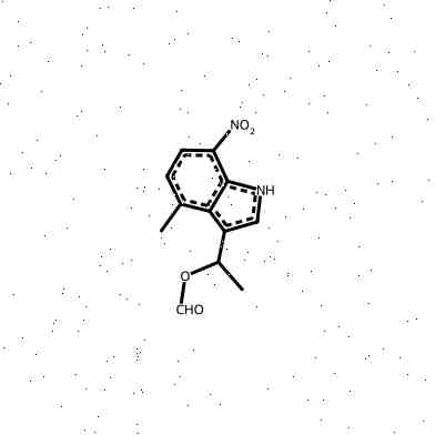 Cc1ccc([N+](=O)[O-])c2[nH]cc(C(C)OC=O)c12